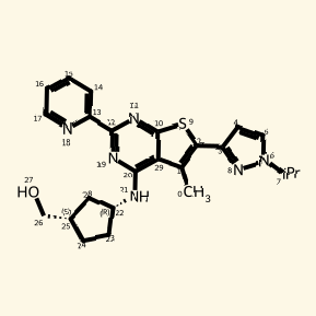 Cc1c(-c2ccn(C(C)C)n2)sc2nc(-c3ccccn3)nc(N[C@@H]3CC[C@H](CO)C3)c12